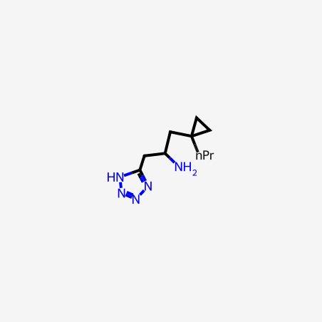 CCCC1(CC(N)Cc2nnn[nH]2)CC1